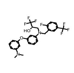 CN(C)c1cccc(Oc2cccc(N(Cc3cc(C(F)(F)F)ccc3F)C[C@@H](O)C(F)(F)F)c2)c1